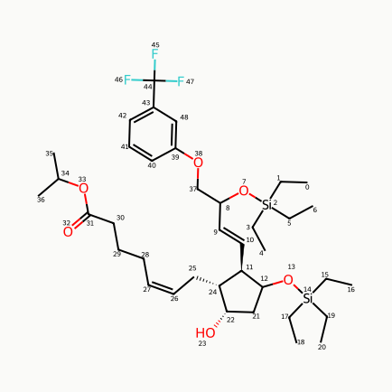 CC[Si](CC)(CC)OC(/C=C/[C@H]1C(O[Si](CC)(CC)CC)C[C@H](O)[C@@H]1C/C=C\CCCC(=O)OC(C)C)COc1cccc(C(F)(F)F)c1